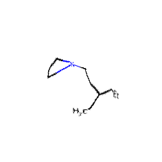 CCC(C)CN1CC1